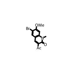 COc1cc2c(cc1Br)cc(C(C)=O)c(=O)n2C